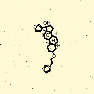 C[C@]12CC[C@H](OCCn3ccnc3)C[C@H]1CC[C@@H]1[C@@H]2CC[C@]2(C)[C@@](O)(c3ccoc3)CC[C@]12O